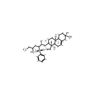 C[C@H](C(CC(O)CC(F)(F)F)S(=O)(=O)c1ccccc1)[C@H]1CC[C@@]2(C)[C@@H]3CC=C4C[C@@](C)(O)CC[C@]4(C)[C@H]3CC[C@]12C